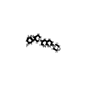 Fc1ccc2[nH]c3c(c2c1)CN(c1cnc2nc(N4CCOCC4)ccc2c1)CC3